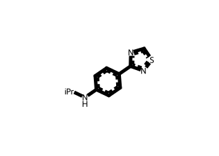 CC(C)Nc1ccc(-c2ncsn2)cc1